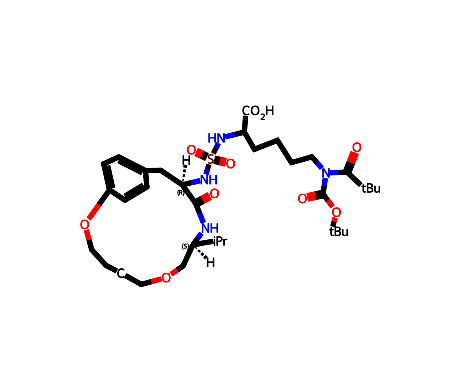 CC(C)[C@H]1COCCCCOc2ccc(cc2)C[C@@H](NS(=O)(=O)NC(CCCCN(C(=O)OC(C)(C)C)C(=O)C(C)(C)C)C(=O)O)C(=O)N1